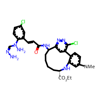 CCOC(=O)[C@@H]1CCCCC(NC(=O)/C=C/c2cc(Cl)ccc2N(N)/C=N\N)c2cc(c(Cl)nn2)-c2ccc(NC)cc2N1